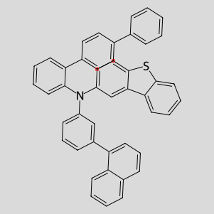 c1ccc(-c2ccc(-c3ccccc3N(c3cccc(-c4cccc5ccccc45)c3)c3ccc4sc5ccccc5c4c3)cc2)cc1